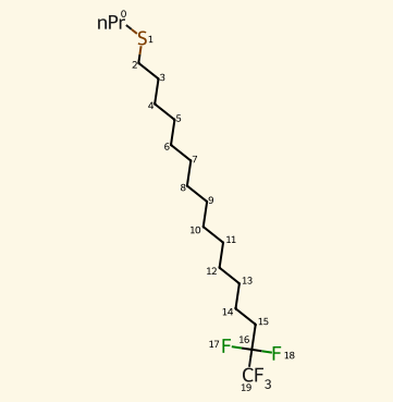 CCCSCCCCCCCCCCCCCCC(F)(F)C(F)(F)F